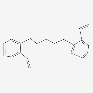 C=Cc1ccccc1CCCCCc1ccccc1C=C